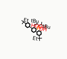 CCC(C)(C)c1ccc(-c2cccc(P(O)(O)(O)c3ccc(C(C)(C)CC)cc3)c2CC(CC(C)C(C)(C)C)C(C)(C)C)cc1